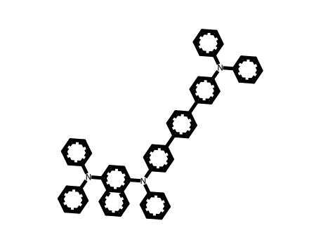 c1ccc(N(c2ccccc2)c2ccc(-c3ccc(-c4ccc(N(c5ccccc5)c5ccc(N(c6ccccc6)c6ccccc6)c6ccccc56)cc4)cc3)cc2)cc1